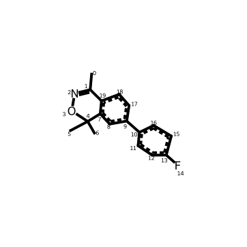 CC1=NOC(C)(C)c2cc(-c3ccc(F)cc3)ccc21